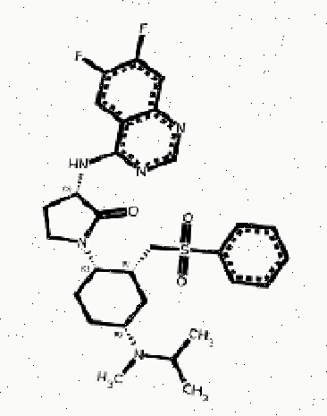 CC(C)N(C)[C@@H]1CC[C@H](N2CC[C@H](Nc3ncnc4cc(F)c(F)cc34)C2=O)[C@H](CS(=O)(=O)c2ccccc2)C1